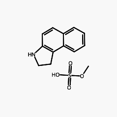 COS(=O)(=O)O.c1ccc2c3c(ccc2c1)NCC3